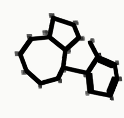 Cc1ccccc1C1CCCCCC2CCC[C]21